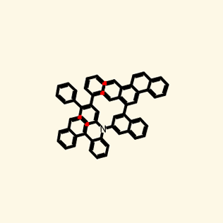 c1ccc(-c2ccc(N(c3cc(-c4cc5c6ccccc6ccc5c5ccccc45)c4ccccc4c3)c3ccccc3-c3cccc4ccccc34)cc2-c2ccccc2)cc1